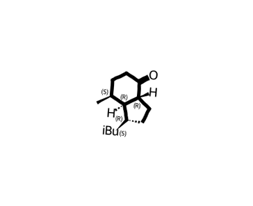 CC[C@H](C)[C@H]1CC[C@H]2C(=O)CC[C@H](C)[C@H]12